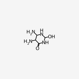 NC1NC(O)NC(=O)C1N